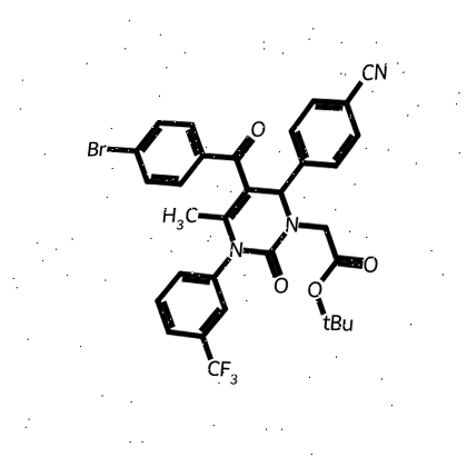 CC1=C(C(=O)c2ccc(Br)cc2)C(c2ccc(C#N)cc2)N(CC(=O)OC(C)(C)C)C(=O)N1c1cccc(C(F)(F)F)c1